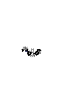 CNc1ccc(/C(C=N)=C/NC(C)C)nc1NCc1ccc2ncccc2c1